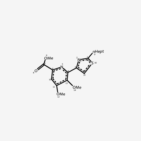 CCCCCCCc1nc(-c2nc(C(=O)OC)cc(OC)c2OC)cs1